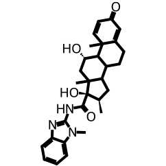 C[C@@H]1CC2C3CCC4=CC(=O)C=CC4(C)C3[C@@H](O)CC2(C)[C@@]1(O)C(=O)Nc1nc2ccccc2n1C